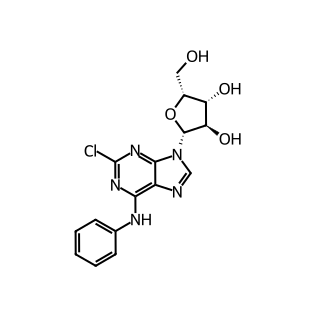 OC[C@H]1O[C@@H](n2cnc3c(Nc4ccccc4)nc(Cl)nc32)[C@H](O)[C@H]1O